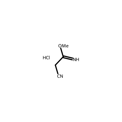 COC(=N)CC#N.Cl